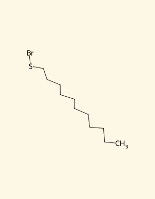 CCCCCCCCCCCSBr